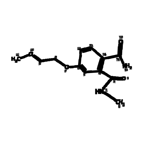 CNC(=O)c1cc(OCCOC)ccc1C(N)=O